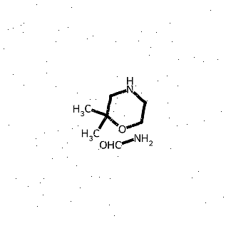 CC1(C)CNCCO1.NC=O